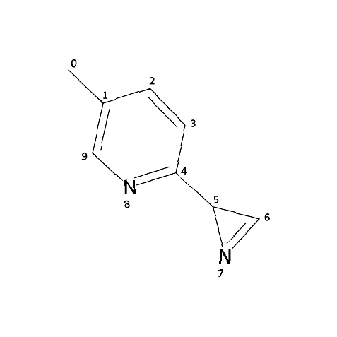 Cc1ccc(C2C=N2)nc1